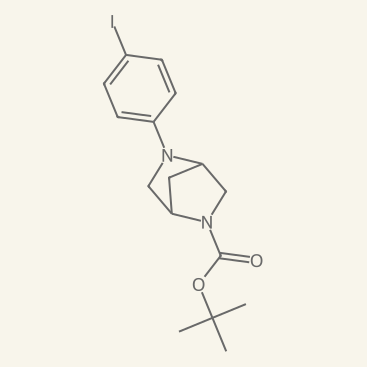 CC(C)(C)OC(=O)N1CC2CC1CN2c1ccc(I)cc1